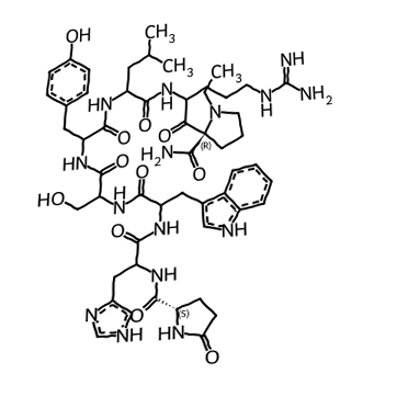 CCN1CCC[C@]1(C(N)=O)C(=O)C(CCCNC(=N)N)NC(=O)C(CC(C)C)NC(=O)C(Cc1ccc(O)cc1)NC(=O)C(CO)NC(=O)C(Cc1c[nH]c2ccccc12)NC(=O)C(Cc1c[nH]cn1)NC(=O)[C@@H]1CCC(=O)N1